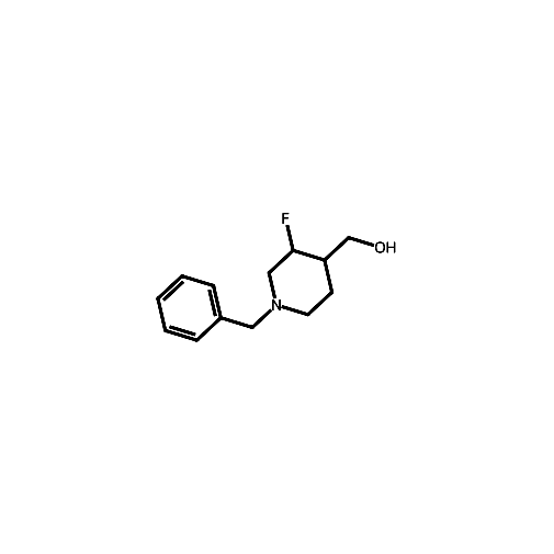 OCC1CCN(Cc2ccccc2)CC1F